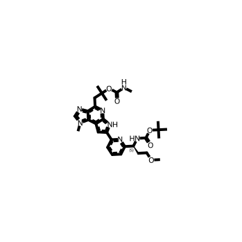 CNC(=O)OC(C)(C)Cc1nc2[nH]c(-c3cccc([C@H](CCOC)NC(=O)OC(C)(C)C)n3)cc2c2c1ncn2C